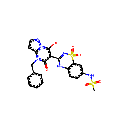 CS(=O)(=O)Nc1ccc2c(c1)S(=O)(=O)N=C(c1c(O)n3nccc3n(Cc3ccccc3)c1=O)N2